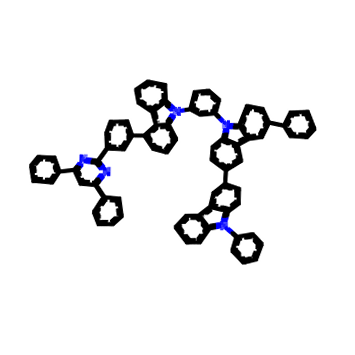 c1ccc(-c2ccc3c(c2)c2cc(-c4ccc5c(c4)c4ccccc4n5-c4ccccc4)ccc2n3-c2cccc(-n3c4ccccc4c4c(-c5cccc(-c6nc(-c7ccccc7)cc(-c7ccccc7)n6)c5)cccc43)c2)cc1